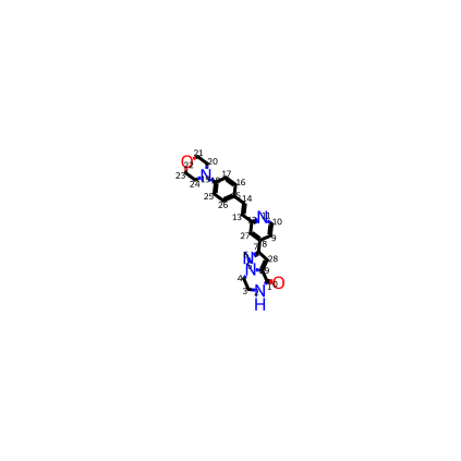 O=C1NCCn2nc(-c3ccnc(C=Cc4ccc(N5CCOCC5)cc4)c3)cc21